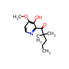 CCCC(C)(C)C(=O)c1nccc(OC)c1O